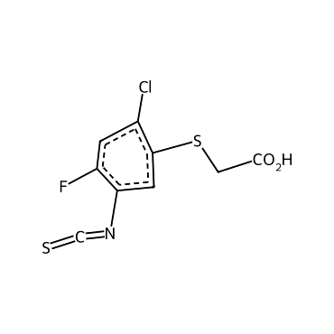 O=C(O)CSc1cc(N=C=S)c(F)cc1Cl